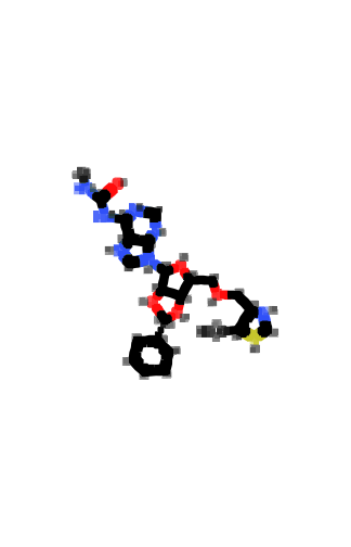 CCNC(=O)Nc1ncnc2c1ncn2C1OC(COCc2ncsc2C(=O)O)C2O[C@H](c3ccccc3)OC21